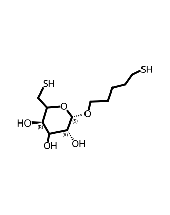 OC1[C@@H](O)C(CS)O[C@H](OCCCCCS)[C@@H]1O